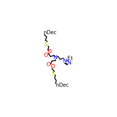 CCCCCCCCCCCCCCSCCOC(=O)CCN(CCCn1ccnc1CC)CCC(=O)OCCSCCCCCCCCCCCCCC